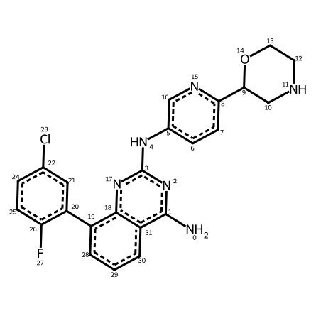 Nc1nc(Nc2ccc(C3CNCCO3)nc2)nc2c(-c3cc(Cl)ccc3F)cccc12